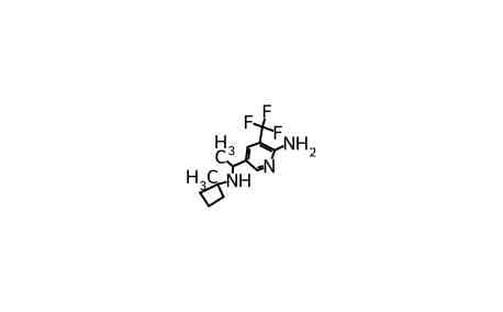 CC(NC1(C)CCC1)c1cnc(N)c(C(F)(F)F)c1